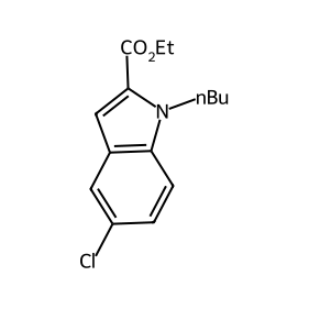 CCCCn1c(C(=O)OCC)cc2cc(Cl)ccc21